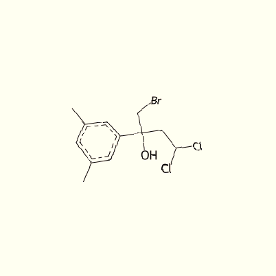 Cc1cc(C)cc(C(O)(CBr)CC(Cl)Cl)c1